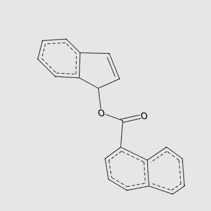 O=C(OC1C=Cc2ccccc21)c1cccc2ccccc12